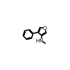 CNc1cocc1-c1ccccc1